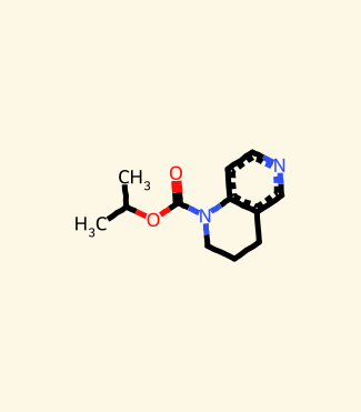 CC(C)OC(=O)N1CCCc2cnccc21